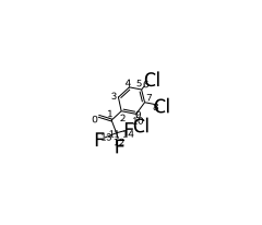 C=C(c1ccc(Cl)c(Cl)c1Cl)C(F)(F)F